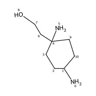 NC1CCC(N)(CCO)CC1